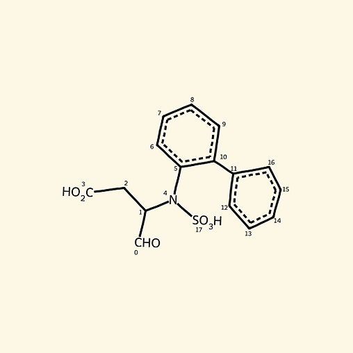 O=CC(CC(=O)O)N(c1ccccc1-c1ccccc1)S(=O)(=O)O